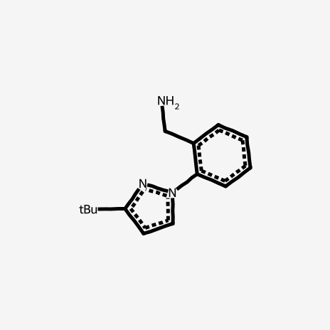 CC(C)(C)c1ccn(-c2ccccc2CN)n1